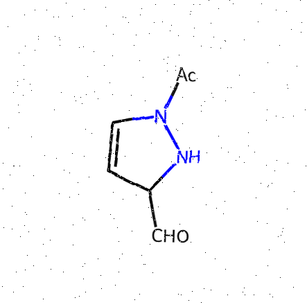 CC(=O)N1C=CC(C=O)N1